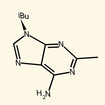 CC[C@H](C)n1cnc2c(N)nc(C)nc21